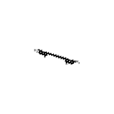 Cc1cc(CCCCCCCCCCCCCCCc2cc(C)c(Cc3ccc(N)cc3)c(C)c2)cc(C)c1Cc1ccc(N)cc1